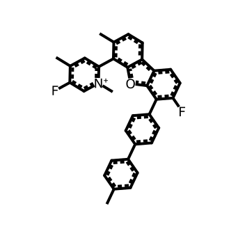 Cc1ccc(-c2ccc(-c3c(F)ccc4c3oc3c(-c5cc(C)c(F)c[n+]5C)c(C)ccc34)cc2)cc1